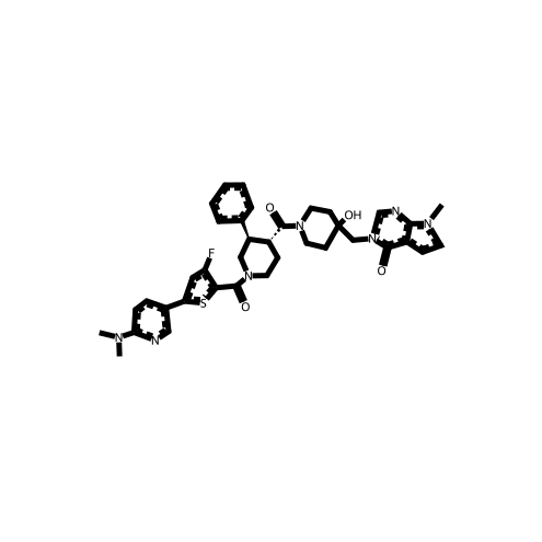 CN(C)c1ccc(-c2cc(F)c(C(=O)N3CC[C@@H](C(=O)N4CCC(O)(Cn5cnc6c(ccn6C)c5=O)CC4)[C@H](c4ccccc4)C3)s2)cn1